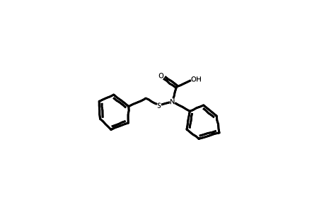 O=C(O)N(SCc1ccccc1)c1ccccc1